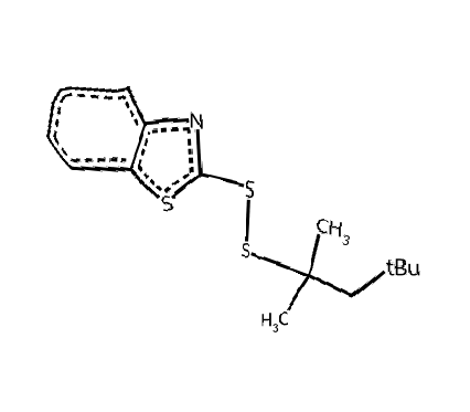 CC(C)(C)CC(C)(C)SSc1nc2ccccc2s1